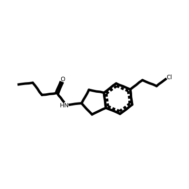 CCCC(=O)NC1Cc2ccc(CCCl)cc2C1